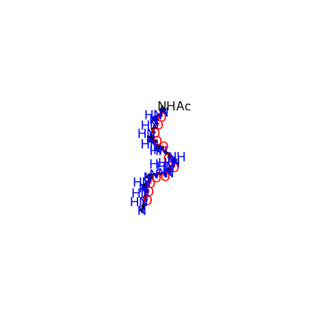 CC(=O)Nc1cc(C(=O)Nc2cc(C(=O)NCCC(=O)Nc3cc(C(=O)Nc4cc(C(=O)NCCCC(=O)Nc5cn(C)c(C(=O)Nc6cn(C)c(C(=O)NCCC(=O)Nc7cc(C(=O)Nc8cc(C(=O)NCCC(=O)NCCCN(C)C)n(C)c8)n(C)c7)n6)n5)n(C)c4)n(C)c3)n(C)c2)n(C)c1